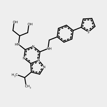 CC(C)c1cnn2c(NCc3ccc(-c4cccs4)cc3)nc(NC(CO)CO)nc12